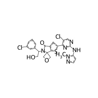 Cn1nccc1Nc1ncc(Cl)c(-c2cc3c(s2)C2(COC2)N(C(CO)c2cccc(Cl)c2)C3=O)n1